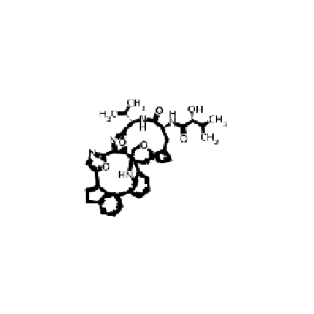 CC(C)[C@H](O)C(=O)N[C@H]1Cc2ccc3c(c2)[C@]24c5cccc(c5NC2O3)-c2cccc3c2C(=CC3)c2cnc(o2)-c2nc(oc24)[C@H](C(C)C)NC1=O